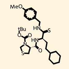 COc1ccc(CNC(=S)[C@@H](CCC2CCCCC2)NC(=O)[C@@H]2CSCN2C(=O)OC(C)(C)C)cc1